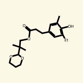 CCc1cc(CCC(=O)OCC(C)(C)C2OCCCO2)cc(C)c1O